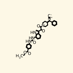 [C-]#[N+]C(=C1CCN(C(=O)C(=O)c2c[nH]c3c(NC(=O)Nc4ccc(C(=O)OCC)cc4)cccc23)CC1)c1ccccc1